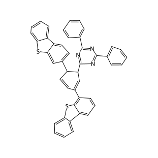 C1=CC(c2ccc3c(c2)sc2ccccc23)C(c2nc(-c3ccccc3)nc(-c3ccccc3)n2)C=C1c1cccc2c1sc1ccccc12